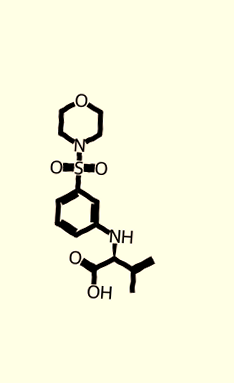 C=C(C)[C@H](Nc1cccc(S(=O)(=O)N2CCOCC2)c1)C(=O)O